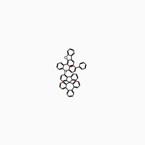 c1ccc(-c2ccc(N(c3ccccc3-c3cccc4c3oc3ccccc34)c3cccc4c3-c3ccccc3C43c4ccccc4-c4ccccc4-c4ccccc43)cc2)cc1